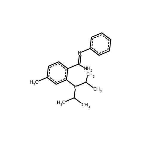 Cc1ccc(C(N)=Nc2ccccc2)c(P(C(C)C)C(C)C)c1